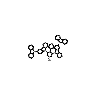 N#Cc1cc(-n2c3ccccc3c3cc(-n4c5ccccc5c5ccccc54)ccc32)c(-c2ccncc2)c(-n2c3ccccc3c3cc(-n4c5ccccc5c5ccccc54)ccc32)c1